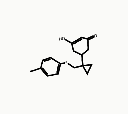 Cc1ccc(SCC2(C3CC(=O)C=C(O)C3)CC2)cc1